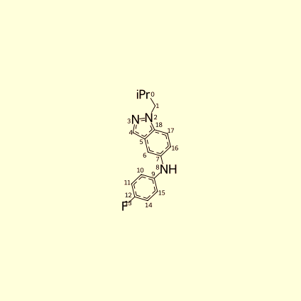 CC(C)Cn1ncc2cc(Nc3ccc(F)cc3)ccc21